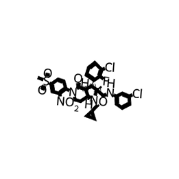 C[C@]1(C(=O)Nc2cccc(Cl)c2)[C@@H](c2cccc(Cl)c2F)[C@@H]2C(=O)N(c3ccc(S(C)(=O)=O)cc3[N+](=O)[O-])CC[C@@H]2N1CC1CC1